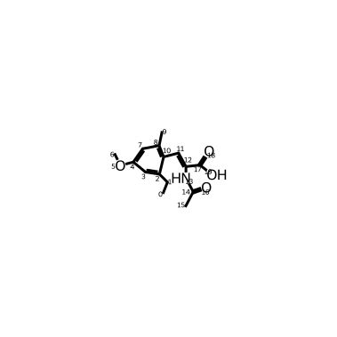 CCc1cc(OC)cc(C)c1/C=C(\NC(C)=O)C(=O)O